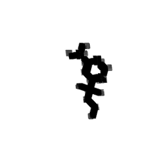 CCCC(C)(C)c1cc(N(C)C)ncn1